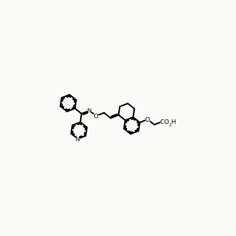 O=C(O)COc1cccc2c1CCCC2=CCON=C(c1ccccc1)c1ccncc1